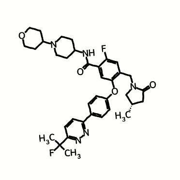 C[C@H]1CC(=O)N(Cc2cc(F)c(C(=O)NC3CCN(C4CCOCC4)CC3)cc2Oc2ccc(-c3ccc(C(C)(C)F)nn3)cc2)C1